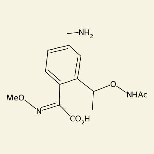 CN.CO/N=C(/C(=O)O)c1ccccc1C(C)ONC(C)=O